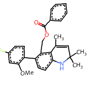 COc1cc(F)ccc1-c1ccc2c(c1COC(=O)c1ccccc1)C(C)=CC(C)(C)N2